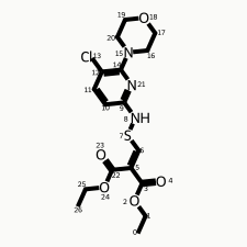 CCOC(=O)C(=CSNc1ccc(Cl)c(N2CCOCC2)n1)C(=O)OCC